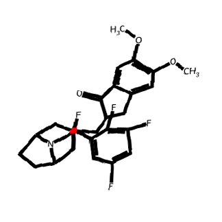 COc1cc2c(cc1OC)C(=O)C(CC1(F)CC3CCC(C1)N3Cc1cc(F)cc(F)c1F)C2